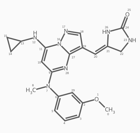 COc1cccc(N(C)c2cc(NC3CC3)n3ncc(/C=C4/CNC(=O)N4)c3n2)c1